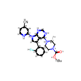 C[C@@H]1CN(C(=O)OC(C)(C)C)CCN1c1ncnc2c1c(-c1ccccc1F)cn2-c1cc(C#N)ccn1